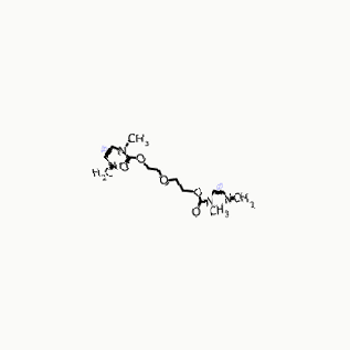 C=N/C=C\N(C)C(=O)OCCOCCOC(=O)N(C)/C=C\N=C